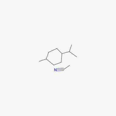 CC#N.CC1CCC(C(C)C)CC1